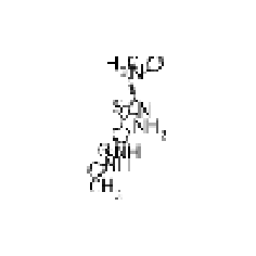 Cc1cccc(NC(=O)Nc2ccc(-c3csc4c(C#CCN(C)Cc5ccccc5)cnc(N)c34)cc2)c1